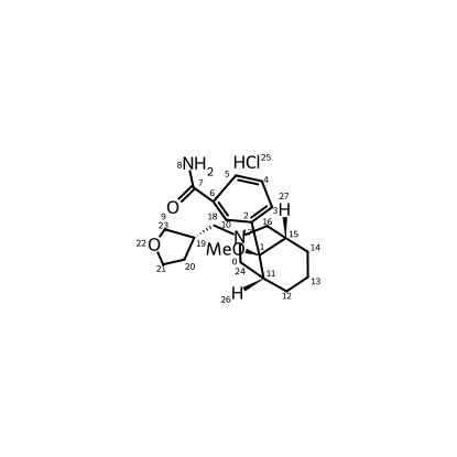 CO[C@]1(c2cccc(C(N)=O)c2)[C@@H]2CCC[C@H]1CN(C[C@@H]1CCOC1)C2.Cl